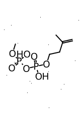 C=C(C)CCOP(=O)(O)OP(=O)(O)OC